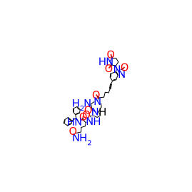 Cn1c(=O)n(C2CCC(=O)NC2=O)c2ccc(C#CCCCC(=O)N3CC[C@H]4CC[C@@H](C(=O)N[C@@H](CCCC(N)=O)C(=O)NC(c5ccccc5)c5ccccc5)N4C(=O)[C@@H](N)C3)cc21